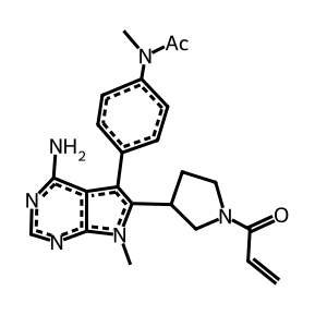 C=CC(=O)N1CCC(c2c(-c3ccc(N(C)C(C)=O)cc3)c3c(N)ncnc3n2C)C1